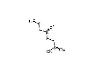 O=C(Cl)CCC(=O)CCCl